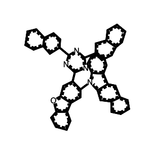 c1ccc2cc(-c3nc(-c4ccc5ccccc5c4)nc(-c4cc5oc6ccccc6c5cc4-n4c5ccccc5c5cc6ccccc6cc54)n3)ccc2c1